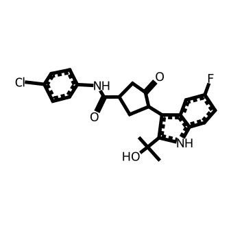 CC(C)(O)c1[nH]c2ccc(F)cc2c1C1CC(C(=O)Nc2ccc(Cl)cc2)CC1=O